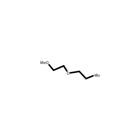 CCCCCCOCCOC